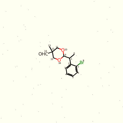 CC(c1ccccc1Br)C1OCC(C)(C=O)CO1